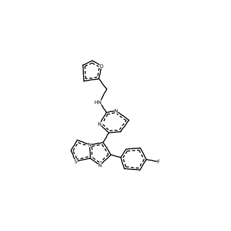 Fc1ccc(-c2nc3sccn3c2-c2ccnc(NCc3ccco3)n2)cc1